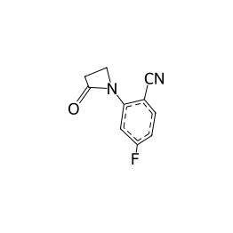 N#Cc1ccc(F)cc1N1CCC1=O